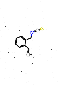 C=Cc1ccccc1CN=C=S